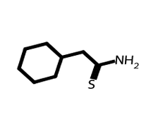 NC(=S)CC1CCCCC1